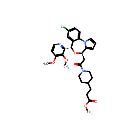 COC(=O)CCC1CCN(C(=O)C[C@H]2O[C@H](c3nccc(OC)c3OC)c3cc(Cl)ccc3-n3cccc32)CC1